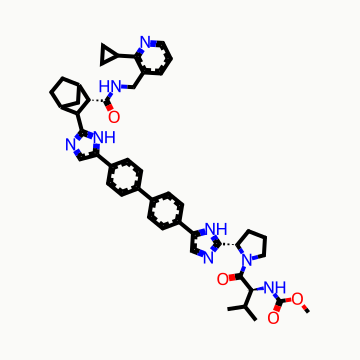 COC(=O)N[C@H](C(=O)N1CCC[C@H]1c1ncc(-c2ccc(-c3ccc(-c4cnc(C5C6CCC(C6)[C@@H]5C(=O)NCc5cccnc5C5CC5)[nH]4)cc3)cc2)[nH]1)C(C)C